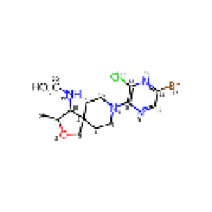 C[C@@H]1OCC2(CCN(c3ncc(Br)nc3Cl)CC2)[C@@H]1NC(=O)O